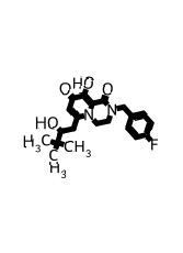 CC(C)(C)C(O)Cc1cc(=O)c(O)c2n1CCN(Cc1ccc(F)cc1)C2=O